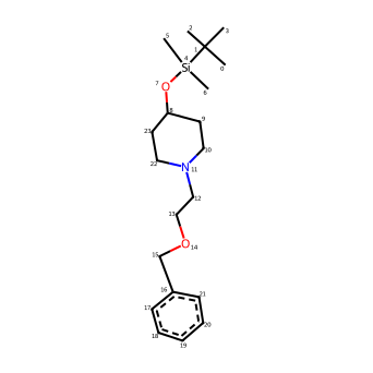 CC(C)(C)[Si](C)(C)OC1CCN(CCOCc2ccccc2)CC1